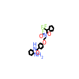 Nc1ccccc1NC(=O)c1ccc(OCCN(C=O)c2oc3ccccc3c2C(F)(F)F)cc1